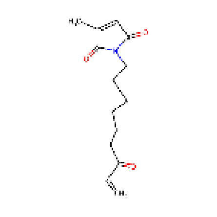 C=CC(=O)CCCCCCN1C(=O)C=C(C)C1=O